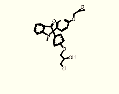 C=C(/C=C\C(=C/C)C1(c2ccc(OCC(O)CCl)cc2)C(=O)c2ccccc2N1C)OCC1CO1